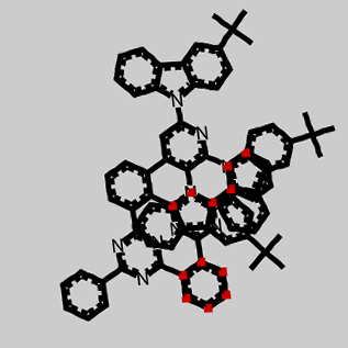 CC(C)(C)c1ccc2c(c1)c1ccccc1n2-c1cc(-c2cccc(-c3nc(-c4ccccc4)nc(-c4ccccc4)n3)c2-c2nc(-c3ccccc3)nc(-c3ccccc3)n2)c(-n2c3ccccc3c3cc(C(C)(C)C)ccc32)c(-n2c3ccccc3c3cc(C(C)(C)C)ccc32)n1